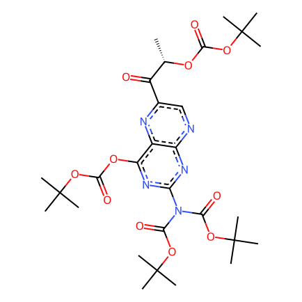 C[C@H](OC(=O)OC(C)(C)C)C(=O)c1cnc2nc(N(C(=O)OC(C)(C)C)C(=O)OC(C)(C)C)nc(OC(=O)OC(C)(C)C)c2n1